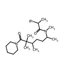 CC(C)C(C)C(=O)N(C)C(C)CCC(C)C(C)(C)C(=O)N1CCCCC1